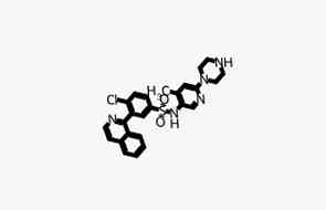 Cc1cc(N2CCNCC2)ncc1NS(=O)(=O)c1ccc(Cl)c(-c2nccc3ccccc23)c1